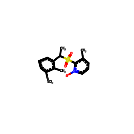 Cc1ccc[n+]([O-])c1S(=O)(=O)C(C)c1cccc([N+](=O)[O-])c1C